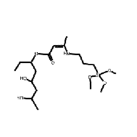 CCC(CC(O)CC(C)O)OC(=O)/C=C(/C)NCCC[Si](OC)(OC)OC